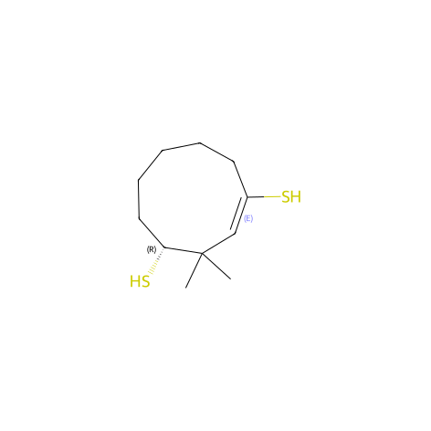 CC1(C)/C=C(/S)CCCCC[C@H]1S